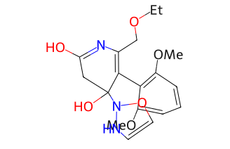 CCOCC1=C(c2c(OC)cccc2OC)C(O)(N2NC=CO2)CC(O)=N1